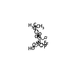 CC(C)Oc1ccc(S(=O)(=O)N2C[C@@H](CC3CCC3)[C@@H](n3nc(CC(=O)O)c4ccc(C(F)(F)F)cc43)C2)cc1